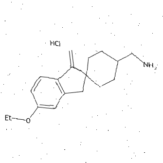 C=C1c2ccc(OCC)cc2CC12CCC(CN)CC2.Cl